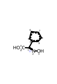 O=C(O)/C(=N/O)c1ccccc1